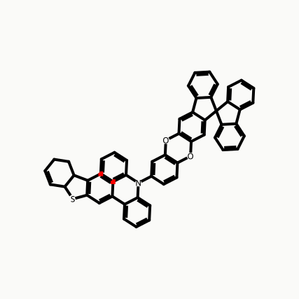 C1=CC2Sc3cc(-c4ccccc4N(c4ccccc4)c4ccc5c(c4)Oc4cc6c(cc4O5)C4(c5ccccc5-c5ccccc54)c4ccccc4-6)ccc3C2CC1